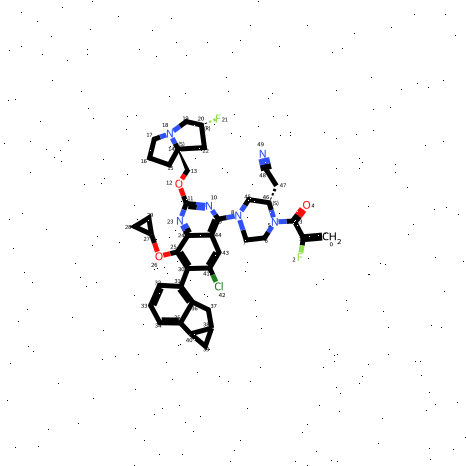 C=C(F)C(=O)N1CCN(c2nc(OC[C@@]34CCCN3C[C@H](F)C4)nc3c(OC4CC4)c(-c4cccc5c4CC4CC54)c(Cl)cc23)C[C@@H]1CC#N